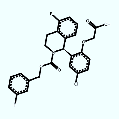 O=C(O)COc1ccc(Cl)cc1[C@@H]1c2cccc(F)c2CCN1C(=O)OCc1cccc(F)c1